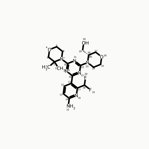 CC1(C)COCCN1c1nc(-c2ccc(N)nc2C(F)F)nc(N2CCOC[C@H]2CO)n1